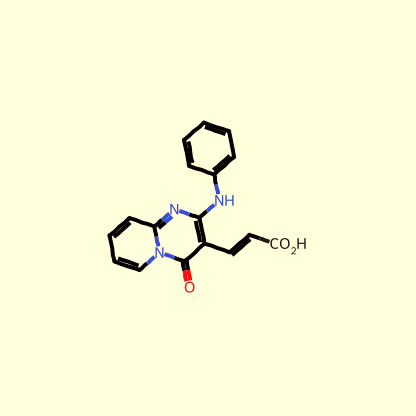 O=C(O)/C=C/c1c(Nc2ccccc2)nc2ccccn2c1=O